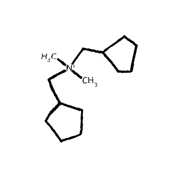 C[N+](C)(CC1CCCC1)CC1CCCC1